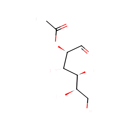 CC(=O)O[C@@H](C=O)[C@@H](O)[C@@H](O)[C@H](O)CO